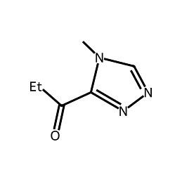 CCC(=O)c1nncn1C